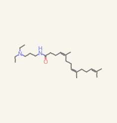 CCN(CC)CCCNC(=O)CCC=C(C)CCC=C(C)CCC=C(C)C